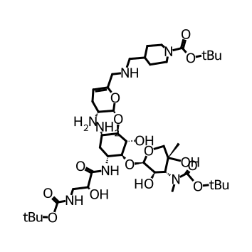 CN(C(=O)OC(C)(C)C)[C@@H]1[C@@H](O)[C@@H](O[C@@H]2[C@@H](O)[C@H](O[C@H]3OC(CNCC4CCN(C(=O)OC(C)(C)C)CC4)=CC[C@H]3N)[C@@H](N)C[C@H]2NC(=O)[C@H](O)CNC(=O)OC(C)(C)C)OC[C@]1(C)O